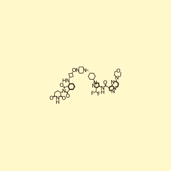 O=C1CCC(N2C(=O)c3cccc(N[C@H]4C[C@H](ON5CCN(C[C@H]6CC[C@H](n7cc(NC(=O)c8cnn9ccc(N%10CCOCC%10)nc89)c(C(F)F)n7)CC6)CC5)C4)c3C2=O)C(=O)N1